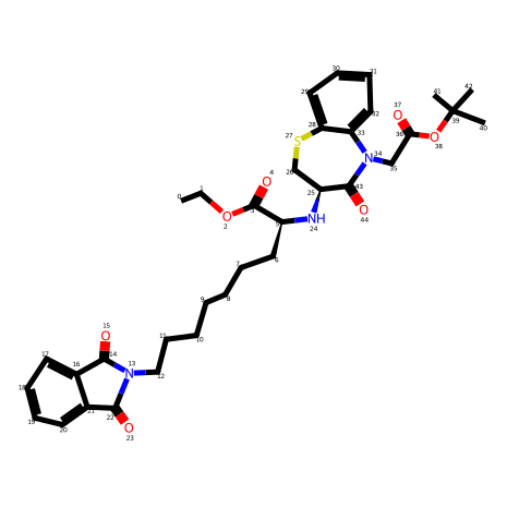 CCOC(=O)[C@H](CCCCCCCN1C(=O)c2ccccc2C1=O)N[C@H]1CSc2ccccc2N(CC(=O)OC(C)(C)C)C1=O